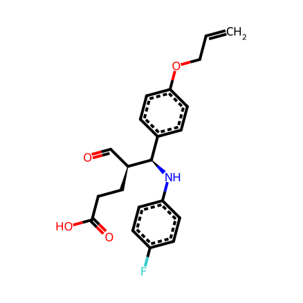 C=CCOc1ccc([C@@H](Nc2ccc(F)cc2)[C@H](C=O)CCC(=O)O)cc1